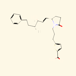 C[C@@H](CCc1ccccc1)[C@@H](O)C=C[C@H]1CCC(=O)N1CCCc1ccc(C(=O)O)s1